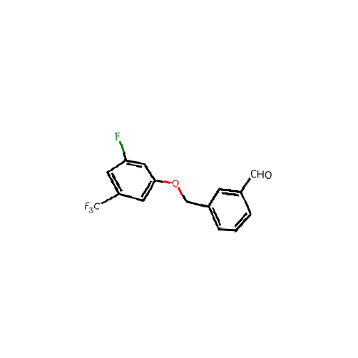 O=Cc1cccc(COc2cc(F)cc(C(F)(F)F)c2)c1